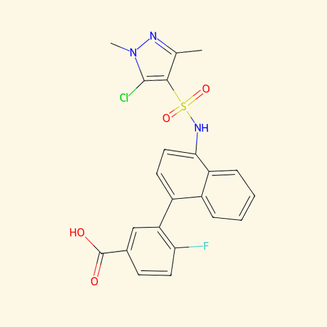 Cc1nn(C)c(Cl)c1S(=O)(=O)Nc1ccc(-c2cc(C(=O)O)ccc2F)c2ccccc12